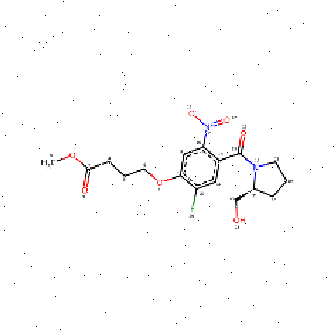 COC(=O)CCCOc1cc([N+](=O)[O-])c(C(=O)N2CCC[C@H]2CO)cc1F